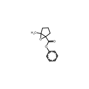 CC12CCCC1(C(=O)Oc1ccccc1)O2